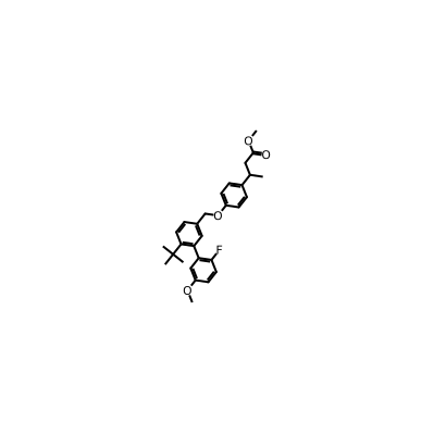 COC(=O)CC(C)c1ccc(OCc2ccc(C(C)(C)C)c(-c3cc(OC)ccc3F)c2)cc1